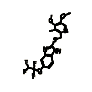 COc1cnc(CSc2nc3cc(OC(F)(F)C(F)F)ccc3[nH]2)c(C)c1OC